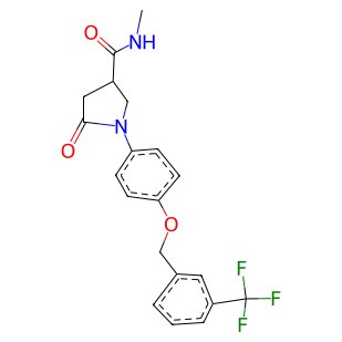 CNC(=O)C1CC(=O)N(c2ccc(OCc3cccc(C(F)(F)F)c3)cc2)C1